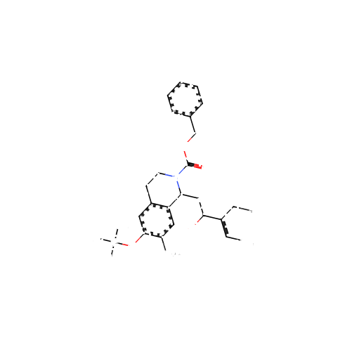 C/C=C(\CC(C)C)C(O)CC1c2cc(OC)c(O[Si](C)(C)C(C)(C)C)cc2CCN1C(=O)OCc1ccccc1